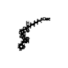 CCCCCCCCCCCCCCCCCNC(=O)OC1COC(C)(COC(=O)NCc2ccccn2)C1